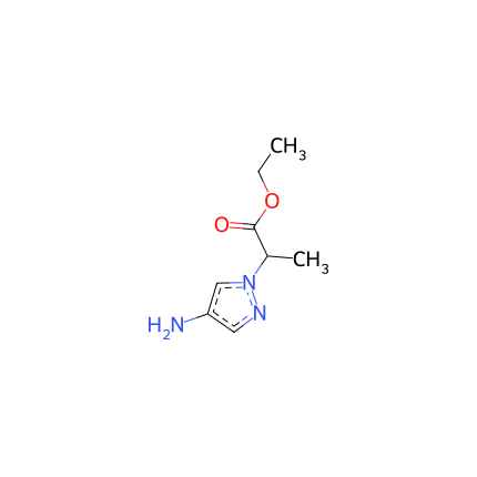 CCOC(=O)C(C)n1cc(N)cn1